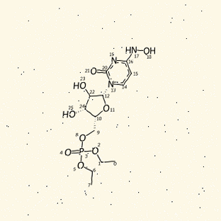 CCOP(=O)(OCC)OC[C@H]1O[C@@H](n2ccc(NO)nc2=O)C(O)[C@H]1O